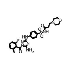 Cc1cccc(F)c1C(=O)n1nc(Nc2ccc(S(=O)(=O)NC(=O)CCN3CCOCC3)cc2)nc1N